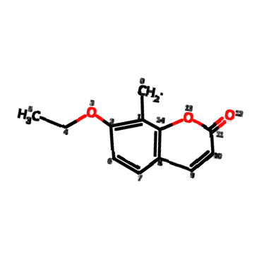 [CH2]c1c(OCC)ccc2ccc(=O)oc12